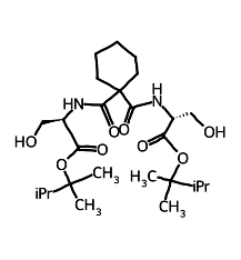 CC(C)C(C)(C)OC(=O)[C@@H](CO)NC(=O)C1(C(=O)N[C@H](CO)C(=O)OC(C)(C)C(C)C)CCCCC1